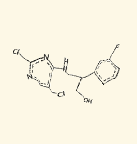 OCC(Nc1nc(Cl)ncc1Cl)c1cccc(F)c1